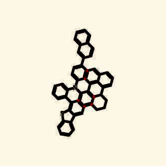 c1ccc(N(c2ccc(-c3ccc4ccccc4c3)cc2)c2ccccc2-c2cccc3cccc(C4CCCCC4)c23)c(-c2cccc3c2sc2ccccc23)c1